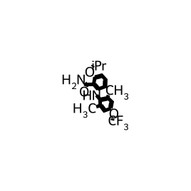 Cc1cc(OC(F)(F)F)cc(C)c1Nc1cccc(OC(C)C)c1C(N)=O